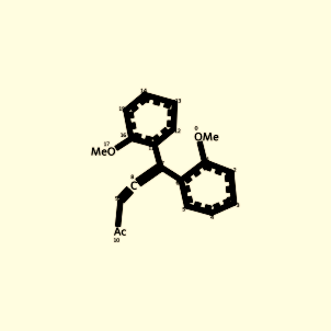 COc1ccccc1C(=C=CC(C)=O)c1ccccc1OC